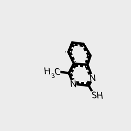 Cc1nc(S)nc2ccc[c]c12